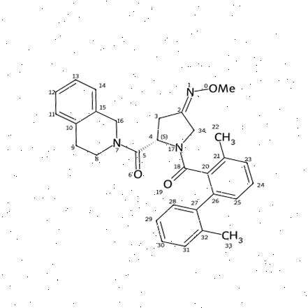 CON=C1C[C@@H](C(=O)N2CCc3ccccc3C2)N(C(=O)c2c(C)cccc2-c2ccccc2C)C1